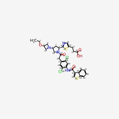 CCOC1CN([C@H]2C[C@@H](c3ncc(CCC(=O)O)s3)N(C(=O)Cc3cc(Cl)c(NC(=O)c4csc5ccccc45)cc3Cl)C2)C1